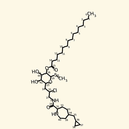 CCCCCCCCCCCCCCCC(=O)OC1C(SC)OC(CC(Cl)CNC(=O)C2CCC(CC3CC3)CCN2)C(O)C1O